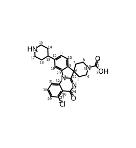 O=C(O)N1CCC2(CC1)c1ccc(C3CCNCC3)cc1-n1c2nc(=O)c2c(Cl)cccc21